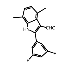 Cc1ccc(C)c2c(C=O)c(-c3cc(F)cc(F)c3)[nH]c12